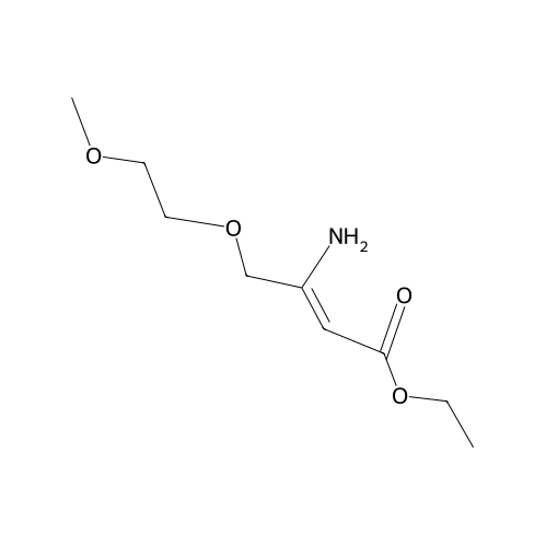 CCOC(=O)/C=C(\N)COCCOC